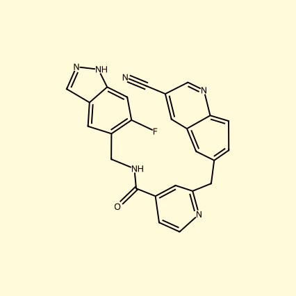 N#Cc1cnc2ccc(Cc3cc(C(=O)NCc4cc5cn[nH]c5cc4F)ccn3)cc2c1